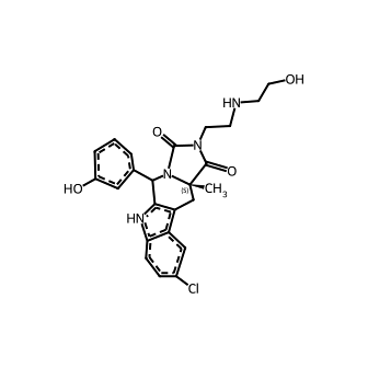 C[C@@]12Cc3c([nH]c4ccc(Cl)cc34)C(c3cccc(O)c3)N1C(=O)N(CCNCCO)C2=O